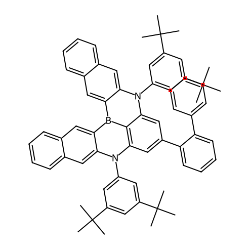 CC(C)(C)c1cc(N2c3cc4ccccc4cc3B3c4cc5ccccc5cc4N(c4cc(C(C)(C)C)cc(C(C)(C)C)c4)c4cc(-c5ccccc5-c5ccccc5)cc2c43)cc(C(C)(C)C)c1